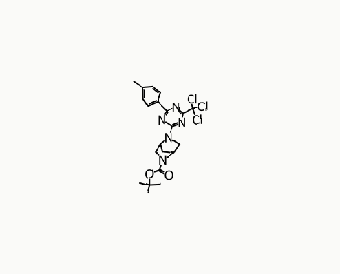 Cc1ccc(-c2nc(N3CC4CC3CN4C(=O)OC(C)(C)C)nc(C(Cl)(Cl)Cl)n2)cc1